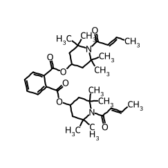 C/C=C/C(=O)N1C(C)(C)CC(OC(=O)c2ccccc2C(=O)OC2CC(C)(C)N(C(=O)/C=C/C)C(C)(C)C2)CC1(C)C